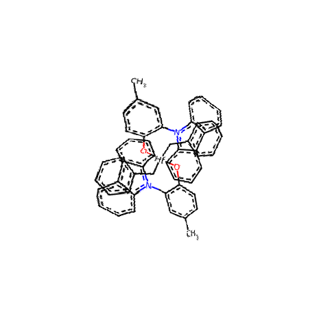 Cc1ccc([O][Hf]([CH2]c2ccccc2)([CH2]c2ccccc2)[O]c2ccc(C)cc2-n2c3ccccc3c3ccccc32)c(-n2c3ccccc3c3ccccc32)c1